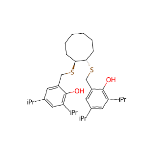 CC(C)c1cc(CS[C@H]2CCCCCC[C@@H]2SCc2cc(C(C)C)cc(C(C)C)c2O)c(O)c(C(C)C)c1